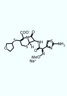 CO/N=C(\C(=O)NC1C(=O)N2C(C(=O)[O-])=C(SC3CCOC3)CS[C@@H]12)c1csc(N)n1.[Na+]